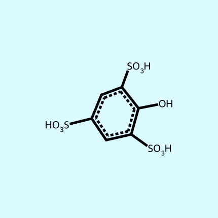 O=S(=O)(O)c1cc(S(=O)(=O)O)c(O)c(S(=O)(=O)O)c1